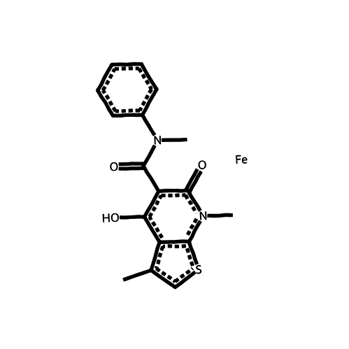 Cc1csc2c1c(O)c(C(=O)N(C)c1ccccc1)c(=O)n2C.[Fe]